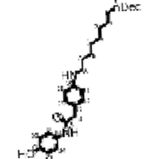 CCCCCCCCCCCCCCCCCCNc1ccc(CC(=O)Nc2ccc(O)cc2)cc1